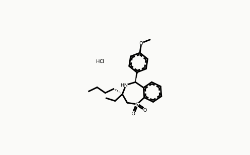 CCCC[C@@]1(CC)CS(=O)(=O)c2ccccc2[C@H](c2ccc(OC)cc2)N1.Cl